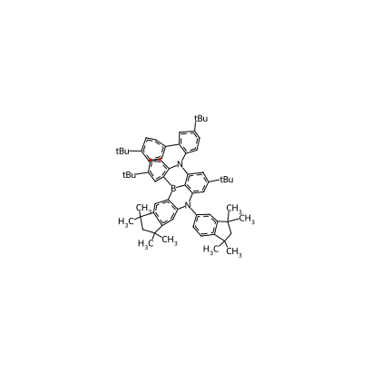 CC(C)(C)c1ccc(-c2cc(C(C)(C)C)ccc2N2c3ccc(C(C)(C)C)cc3B3c4cc5c(cc4N(c4ccc6c(c4)C(C)(C)CC6(C)C)c4cc(C(C)(C)C)cc2c43)C(C)(C)CC5(C)C)cc1